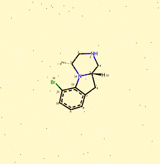 C[C@@H]1CNC[C@@H]2Cc3cccc(Br)c3N21